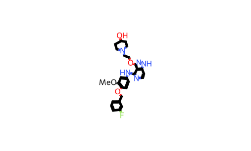 COc1cc(Nc2nccc3[nH]nc(OCCN4CCC(O)CC4)c23)ccc1OCc1cccc(F)c1